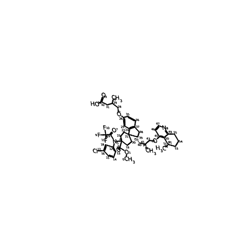 COC(=O)C1(N(C(=O)C(F)(F)F)c2cccc(Cl)c2)CCC2(CC1)c1cc(OCC(C)CC(=O)O)ccc1C[C@@H]2C[C@@H](C)COc1ccnc2c1[C@H](C)CCC2